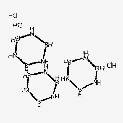 B1NBNBN1.B1NBNBN1.B1NBNBN1.Cl.Cl.Cl